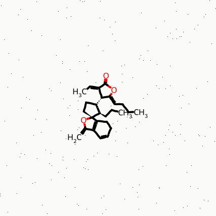 C=C1O[C@@]2(CCC([C@H]3/C(=C/CCC)OC(=O)/C3=C/C)[C@H]2CCC)C2=C1C=CCC2